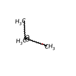 CCCCCCCCCCCCCCCCC=C(C)C(=O)OCCCCCCCCCCCCCCCCCCCC